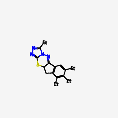 CCc1cc2c(c(CC)c1CC)CC1Sc3nnc(CC)n3N=C21